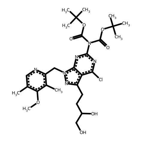 COc1c(C)cnc(Cn2nc(CCC(O)CO)c3c(Cl)nc(N(C(=O)OC(C)(C)C)C(=O)OC(C)(C)C)nc32)c1C